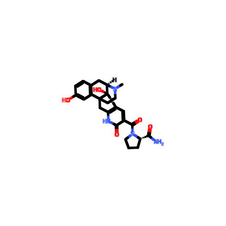 CN1CCC23Cc4[nH]c(=O)c(C(=O)N5CCC[C@H]5C(N)=O)cc4C[C@@]2(O)[C@H]1Cc1ccc(O)cc13